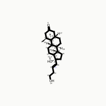 C[C@H]1CC(=O)C[C@@H]2CC[C@@H]3[C@H](CC[C@@]4(C)[C@H]3CC[C@@]4(O)/C=C/CCO)[C@]21C